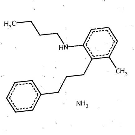 CCCCNc1cccc(C)c1CCCc1ccccc1.N